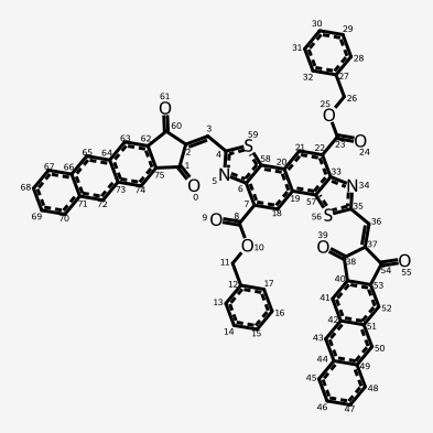 O=C1C(=Cc2nc3c(C(=O)OCc4ccccc4)cc4c(cc(C(=O)OCc5ccccc5)c5nc(C=C6C(=O)c7cc8cc9ccccc9cc8cc7C6=O)sc54)c3s2)C(=O)c2cc3cc4ccccc4cc3cc21